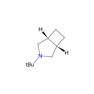 CC(C)(C)N1C[C@H]2CC[C@H]2C1